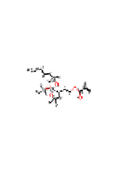 C=C(C)C(=O)OCCC[Si](O[Si](C)(C)C)(O[Si](C)(C)C)O[Si](C)(C)CCCOC(C)=O